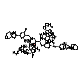 COC(=O)N[C@H](C(=O)N[C@@H](Cc1ccc(C#Cc2ccc(N3CC4CCC(C3)N4C3COC3)nc2)cc1)[C@@H](O)CN(Cc1c(F)cc(-c2cc3n(n2)CCOC3)cc1F)NC(=O)[C@@H](NC(=O)OC)C(C)(C)C(F)(F)F)C(C)(C)C(F)(F)F